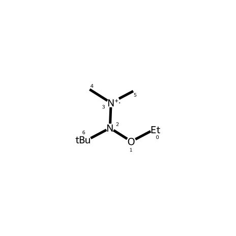 CCON([N+](C)C)C(C)(C)C